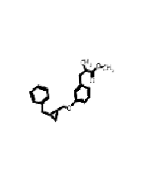 COC(=O)C(C)Cc1cccc(OCC2CC2Cc2ccccc2)c1